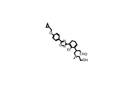 CCC1=C(c2noc(-c3ccc(OCC4CC4)cc3)n2)CCC=C1C(CC=O)CN(C)CCO